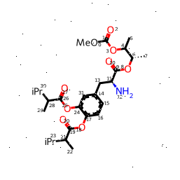 COC(=O)OC(C)[C@H](C)OC(=O)[C@@H](N)Cc1ccc(OC(=O)C(C)C(C)C)c(OC(=O)C(C)C(C)C)c1